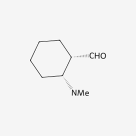 CN[C@@H]1CCCC[C@@H]1C=O